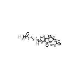 NC(=O)CCCCNc1ccc2c(c1)C(=O)N(C1CCC(=O)NC1=O)C2=O